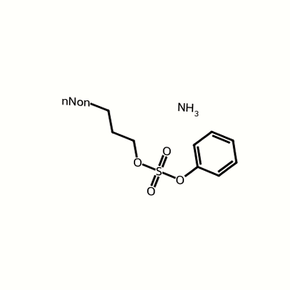 CCCCCCCCCCCCOS(=O)(=O)Oc1ccccc1.N